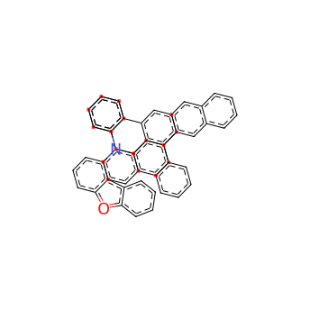 c1ccc(-c2ccccc2-c2c(-c3ccccc3)cccc2-c2ccccc2N(c2cccc(-c3ccc4ccccc4c3)c2)c2cccc3oc4ccccc4c23)cc1